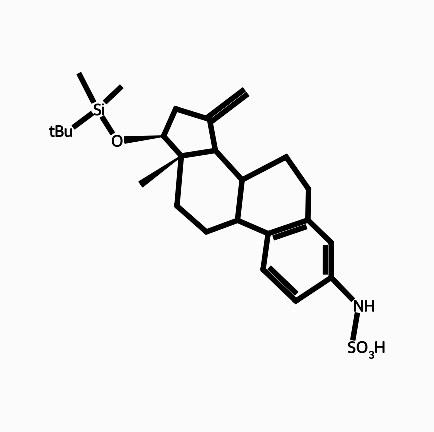 C=C1C[C@H](O[Si](C)(C)C(C)(C)C)[C@@]2(C)CCC3c4ccc(NS(=O)(=O)O)cc4CCC3C12